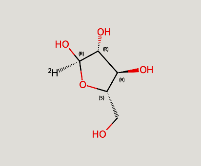 [2H][C@@]1(O)O[C@@H](CO)[C@H](O)[C@H]1O